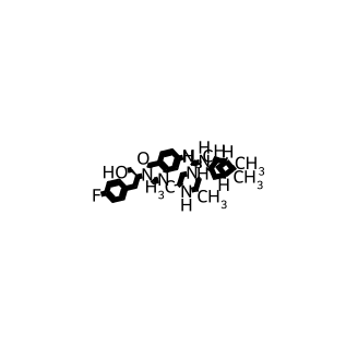 C[C@H]1[C@@H](NC(=Nc2ccc3c(=O)n([C@H](CO)Cc4ccc(F)cc4)cnc3c2)N2C[C@@H](C)N[C@@H](C)C2)C[C@@H]2C[C@@H]1C2(C)C